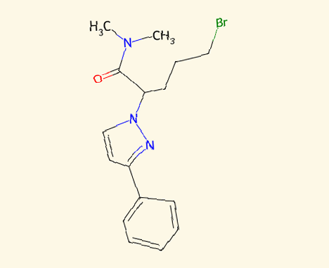 CN(C)C(=O)C(CCCBr)n1ccc(-c2ccccc2)n1